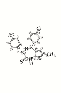 CCc1ccc(CN2N=C(c3ccc(Cl)cc3)c3cc(C)sc3NC2=S)cc1